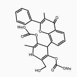 COC(=O)OC1=C(C)NC(CO)=C(OC(=O)OC)C1c1cccc2c(=O)c(C)c(-c3ccccc3)oc12